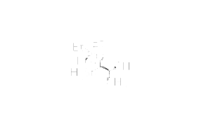 CC[Si](CC)(CC)OC([SiH3])=C(C)C